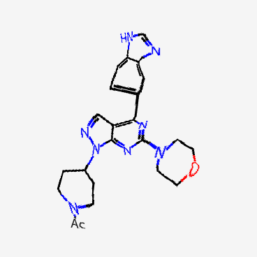 CC(=O)N1CCC(n2ncc3c(-c4ccc5[nH]cnc5c4)nc(N4CCOCC4)nc32)CC1